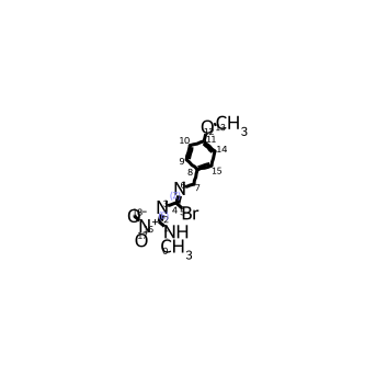 CN/C(=N\C(Br)=N\Cc1ccc(OC)cc1)[N+](=O)[O-]